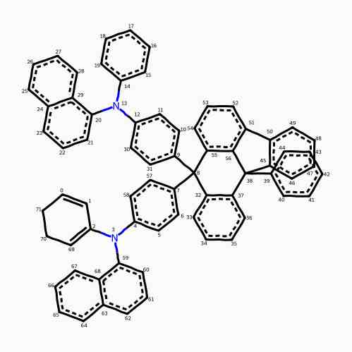 C1=CC(N(c2ccc(C3(c4ccc(N(c5ccccc5)c5cccc6ccccc56)cc4)c4ccccc4C4(c5ccccc5)c5ccccc5-c5cccc3c54)cc2)c2cccc3ccccc23)=CCC1